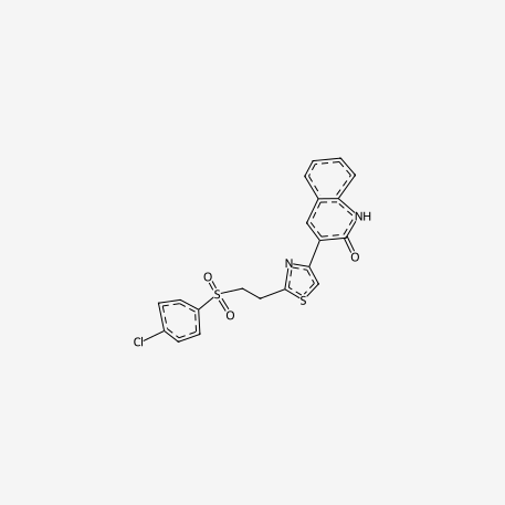 O=c1[nH]c2ccccc2cc1-c1csc(CCS(=O)(=O)c2ccc(Cl)cc2)n1